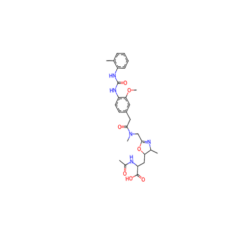 COc1cc(CC(=O)N(C)CC2=NC(C)C(CC(NC(C)=O)C(=O)O)O2)ccc1NC(=O)Nc1ccccc1C